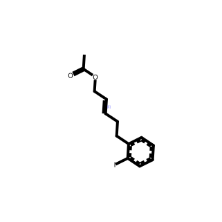 CC(=O)OC/C=C/CCc1ccccc1I